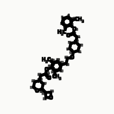 Cc1cccc(C)c1OC(=O)CN1CCC(OCCc2cc(C)c(OC(=O)CN3CCOC(C4COC4)C3)c(C)c2)CC1